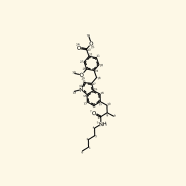 CCCCCNC(=O)C(C)Cc1ccc2c(c1)c(Cc1ccc(C(=O)OC)cc1OC)cn2C